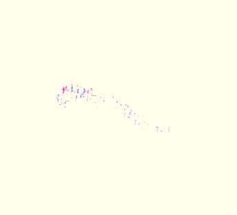 CCc1cc(Nc2ncc(Br)c(Nc3ccc4nccnc4c3P(C)(C)=O)n2)c(OC)cc1N1CCC(NCCNC(=O)c2nc(C(=O)Nc3ccc(C4CCC(=O)NC4=O)cc3)c[nH]2)CC1